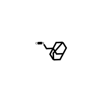 O=NCC12CC3CC(CC(C3)C1)C2